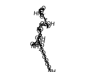 CC(=O)O[C@@H](C)/C=C\C(=O)NC1C[C@H](C)[C@H](C/C=C(C)/C=C/[C@H]2O[C@H](CC(=O)N(C)CCN(C)C(=O)OCc3ccc(NC(=O)[C@H](CCCNC(N)=O)NC(=O)CNC(=O)CCOCCOCCOCCOCCOCCOCCN)cc3)C[C@]3(OC3C)[C@@H]2O)O[C@@H]1C